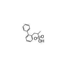 CC(Cc1ccccc1-c1ccccc1)S(=O)(=O)O